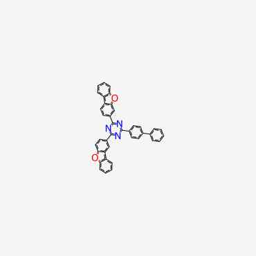 c1ccc(-c2ccc(-c3nc(-c4ccc5c(c4)oc4ccccc45)nc(-c4ccc5oc6ccccc6c5c4)n3)cc2)cc1